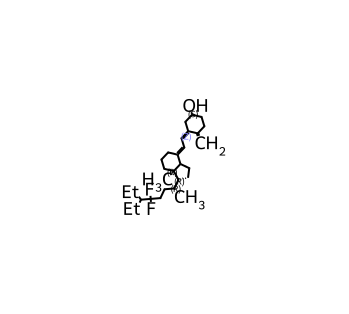 C=C1CC[C@H](O)C/C1=C/C=C1CCC[C@@]2(C)C1CC[C@@H]2[C@H](C)CCC(F)(F)C(CC)CC